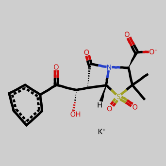 CC1(C)[C@H](C(=O)[O-])N2C(=O)[C@@H]([C@H](O)C(=O)c3ccccc3)[C@H]2S1(=O)=O.[K+]